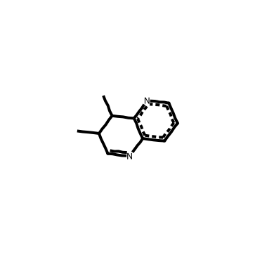 CC1C=Nc2cccnc2C1C